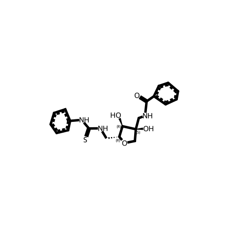 O=C(NC[C@]1(O)CO[C@H](CNC(=S)Nc2ccccc2)[C@H]1O)c1ccccc1